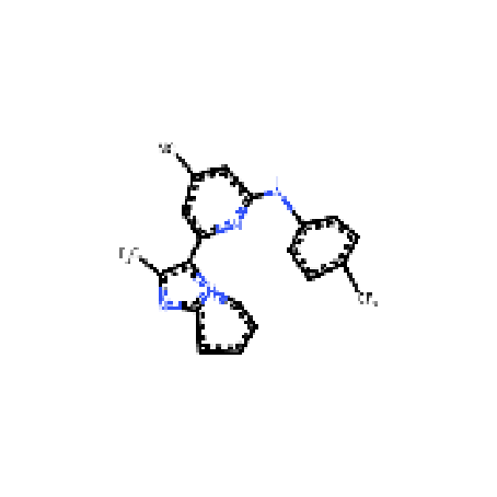 N#Cc1cc(Nc2ccc(C(F)(F)F)cc2)nc(-c2c(C(F)(F)F)nc3ccccn23)c1